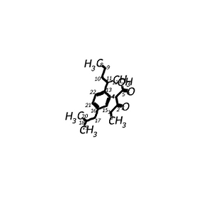 CCC(=O)CC(=O)O.CCC[C@@H](C)c1ccc(CC(C)C)cc1